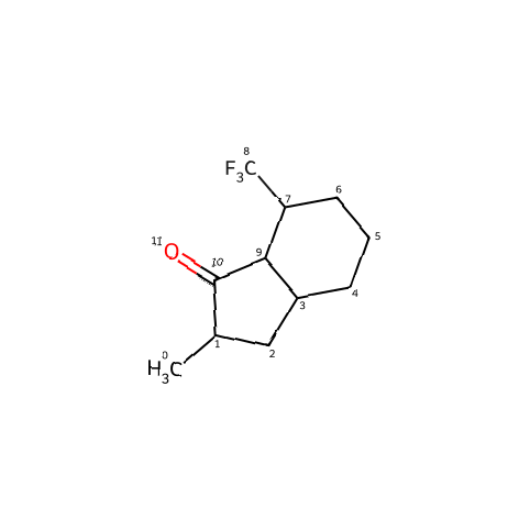 CC1CC2CCCC(C(F)(F)F)C2C1=O